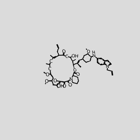 C=CCC1/C=C(\C)CC(C)CC(OC)C2OC(O)(C(=O)C(=O)N3CCCCC3C(=O)OC(C(C)=CC3CCC(Nc4ccc5c(ccn5CC=C)c4)C(OC)C3)C(C)C(O)CC1=O)C(C)CC2OC